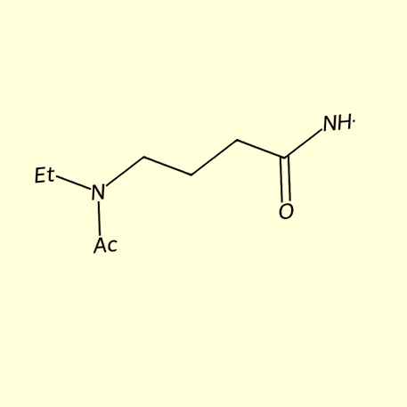 CCN(CCCC([NH])=O)C(C)=O